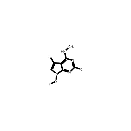 CNc1nc(Cl)nc2c1c(Cl)cn2SF